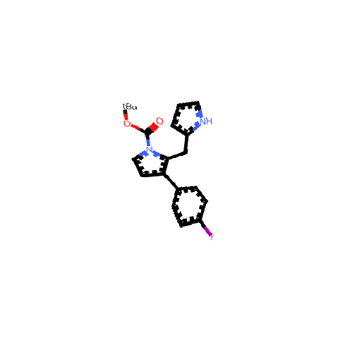 CC(C)(C)OC(=O)n1ccc(-c2ccc(I)cc2)c1Cc1ccc[nH]1